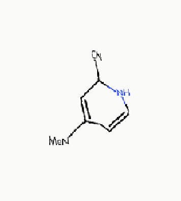 CNC1=CC(C#N)NC=C1